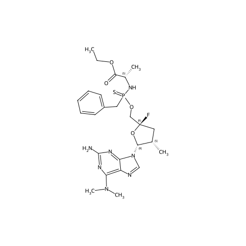 CCOC(=O)[C@H](C)NP(=S)(Cc1ccccc1)OC[C@]1(F)C[C@H](C)[C@H](n2cnc3c(N(C)C)nc(N)nc32)O1